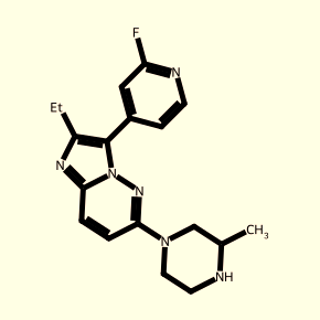 CCc1nc2ccc(N3CCNC(C)C3)nn2c1-c1ccnc(F)c1